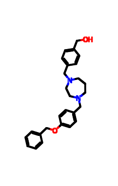 OCc1ccc(CN2CCCN(Cc3ccc(OCc4ccccc4)cc3)CC2)cc1